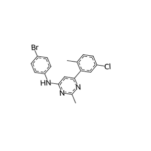 Cc1nc(Nc2ccc(Br)cc2)cc(-c2cc(Cl)ccc2C)n1